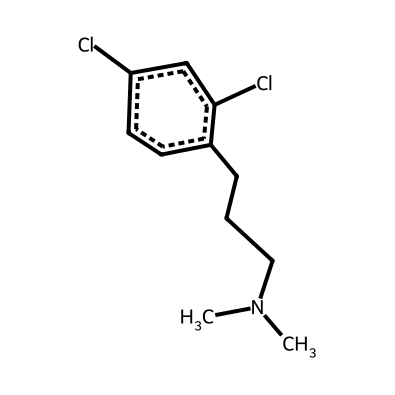 CN(C)CCCc1ccc(Cl)cc1Cl